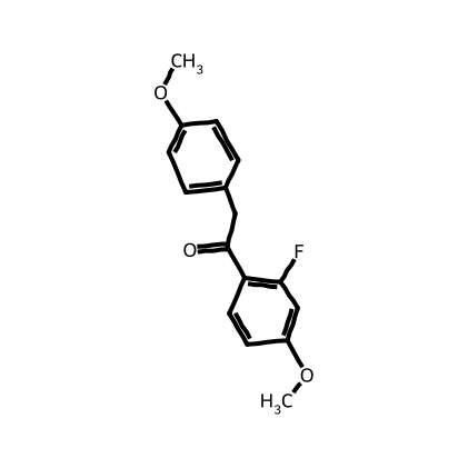 COc1ccc(CC(=O)c2ccc(OC)cc2F)cc1